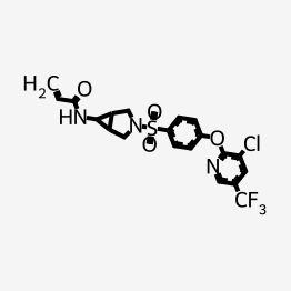 C=CC(=O)NC1C2CN(S(=O)(=O)c3ccc(Oc4ncc(C(F)(F)F)cc4Cl)cc3)CC21